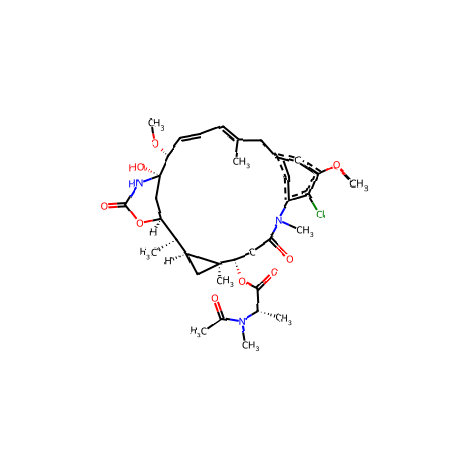 COc1cc2cc(c1Cl)N(C)C(=O)C[C@H](OC(=O)[C@H](C)N(C)C(C)=O)[C@@]1(C)C[C@H]1[C@H](C)[C@@H]1C[C@@](O)(NC(=O)O1)[C@H](OC)/C=C/C=C(\C)C2